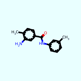 Cc1cccc(NC(=O)c2ccc(C)c(N)c2)c1